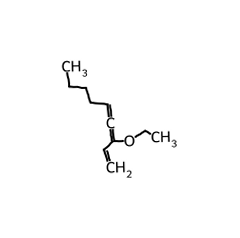 C=CC(=C=CCCCC)OCC